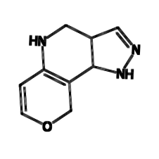 C1=CC2=C(CO1)C1NN=CC1CN2